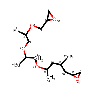 CCCCC(OCC(CC)OCC1CO1)[SiH2]OC(C)CC(CCC)CC1CO1